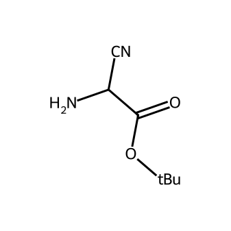 CC(C)(C)OC(=O)C(N)C#N